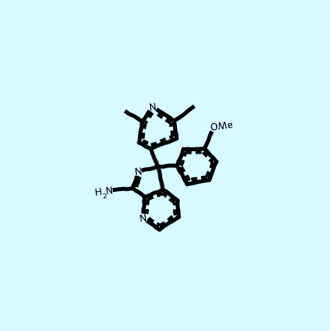 COc1cccc(C2(c3cc(C)nc(C)c3)N=C(N)c3ncccc32)c1